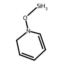 [SiH3]ON1C=CC=CC1